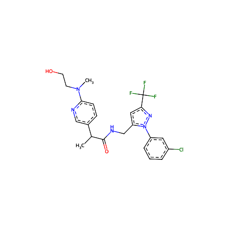 CC(C(=O)NCc1cc(C(F)(F)F)nn1-c1cccc(Cl)c1)c1ccc(N(C)CCO)nc1